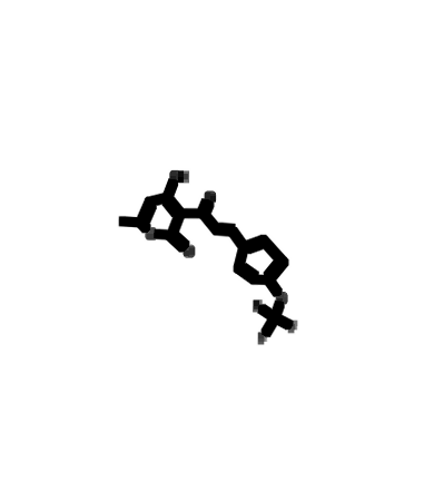 Cc1cc(O)c(C(=O)C=Cc2ccc(OC(F)(F)F)cc2)c(=O)o1